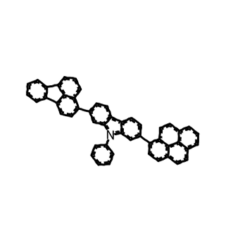 c1ccc(-n2c3cc(-c4ccc5c6c(cccc46)-c4ccccc4-5)ccc3c3ccc(-c4ccc5ccc6cccc7ccc4c5c67)cc32)cc1